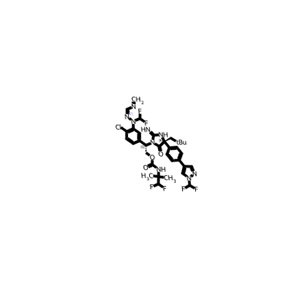 C=N/C=N\N(c1cc([C@@H](COC(=O)NC(C)(C)C(F)F)N2C(=N)N[C@](CC(C)(C)C)(c3ccc(-c4cnn(C(F)F)c4)cc3)C2=O)ccc1Cl)C(F)F